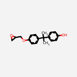 CC(C)(c1ccc(O)cc1)c1ccc(OCC2CO2)cc1